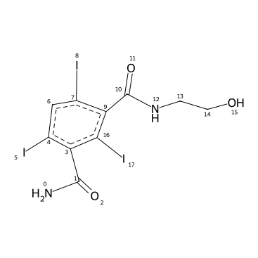 NC(=O)c1c(I)cc(I)c(C(=O)NCCO)c1I